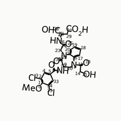 COc1c(Cl)cc(C(=O)N[C@H]2CN(C(=O)CO)c3ccccc3N(CC(=O)N[C@H](C=O)CC(=O)O)C2=O)cc1Cl